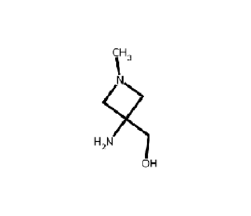 CN1CC(N)(CO)C1